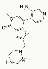 C[C@@H]1CNCCN1Cc1cc2c(=O)n(C)cc(-c3ccncc3N)c2o1